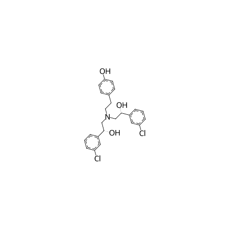 Oc1ccc(CCN(C[C@H](O)c2cccc(Cl)c2)C[C@H](O)c2cccc(Cl)c2)cc1